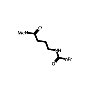 CCCC(=O)NCCCC(=O)NC